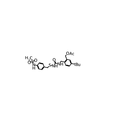 CC(=O)OCc1cc(C(C)(C)C)ccc1CNC(=O)NSCc1ccc(NS(C)(=O)=O)cc1